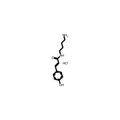 Cl.NCCCCNC(=O)/C=C/c1ccc(O)cc1